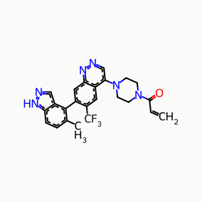 C=CC(=O)N1CCN(c2cnnc3cc(-c4c(C)ccc5[nH]ncc45)c(C(F)(F)F)cc23)CC1